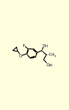 C[C@H](CO)[C@H](O)c1ccc(OC2CC2)c(F)c1